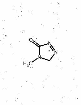 CN1CN=NC1=O